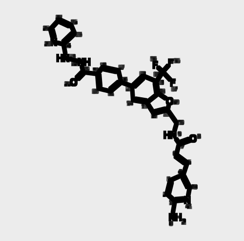 Nc1ccc(/C=C/C(=O)NCc2cc3cc(-c4ccc(C(=O)NNc5ccccn5)cc4)cc(C(F)(F)F)c3o2)cn1